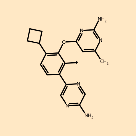 Cc1cc(Oc2c(C3CCC3)ccc(-c3cnc(N)cn3)c2F)nc(N)n1